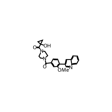 COc1cc(C(=O)N2CCN(C(=O)C3(O)CC3)CC2)ccc1-c1cnc2ccccc2c1